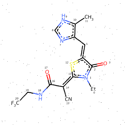 CCn1c(=O)/c(=C/c2nc[nH]c2C)s/c1=C(/C#N)C(=O)NCC(F)(F)F